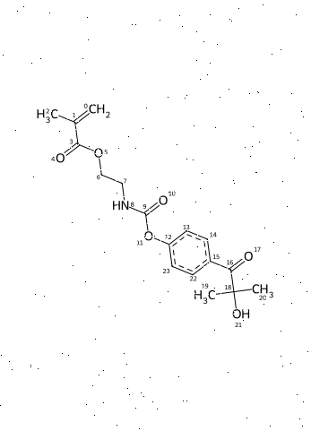 C=C(C)C(=O)OCCNC(=O)Oc1ccc(C(=O)C(C)(C)O)cc1